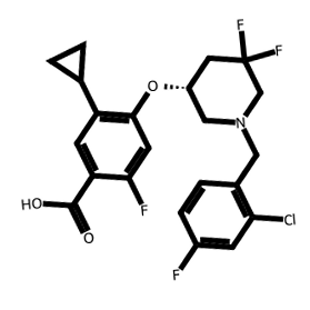 O=C(O)c1cc(C2CC2)c(O[C@H]2CN(Cc3ccc(F)cc3Cl)CC(F)(F)C2)cc1F